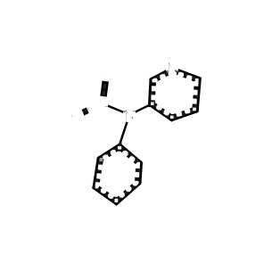 O=[SH](=O)N(c1cc[c]cc1)c1cccnc1